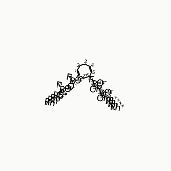 C1=CCCC=CCC1.[O-]B([O-])F.[O-]B([O-])F.[O-]B([O-])F.[O-]B([O-])F.[Rh+].[Rh+].[Rh+].[Rh+].[Rh+].[Rh+].[Rh+].[Rh+]